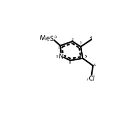 CSc1cc(C)c(CCl)cn1